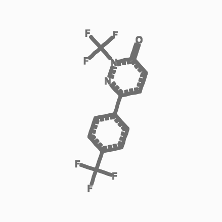 O=c1ccc(-c2ccc(C(F)(F)F)cc2)nn1C(F)(F)F